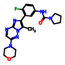 Cc1c(-c2cc(NC(=O)N3CCCC3)ccc2F)nc2ncc(N3CCOCC3)nn12